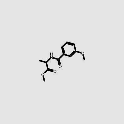 COC(=O)C(C)NC(=O)c1cccc(OC)c1